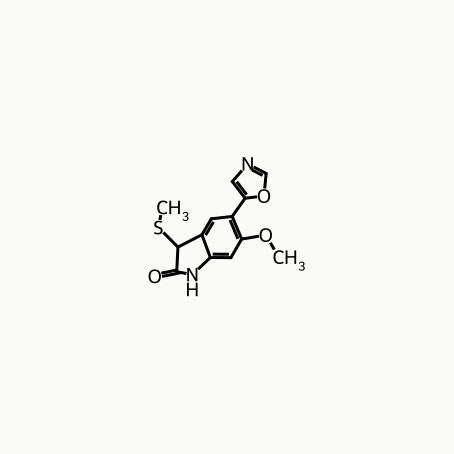 COc1cc2c(cc1-c1cnco1)C(SC)C(=O)N2